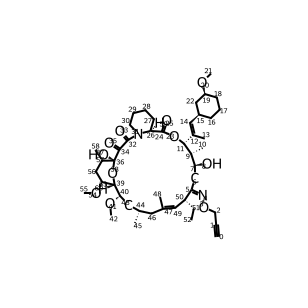 C#CCO/N=C1/C[C@H](O)[C@@H](C)[C@@H](/C(C)=C/[C@@H]2CCC[C@H](OC)C2)OC(=O)[C@@H]2CCCCN2C(=O)C(=O)[C@]2(O)O[C@H]([C@@H](OC)C[C@@H](C)C/C(C)=C/[C@H]1CC)[C@@H](OC)C[C@H]2C